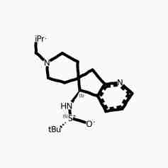 C[C](C)CN1CCC2(CC1)Cc1ncccc1[C@H]2N[S@+]([O-])C(C)(C)C